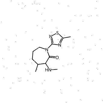 CNC1C(=O)N(c2nsc(C)n2)CCCC1C